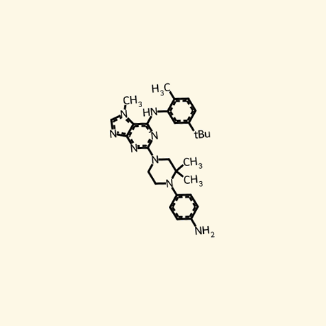 Cc1ccc(C(C)(C)C)cc1Nc1nc(N2CCN(c3ccc(N)cc3)C(C)(C)C2)nc2ncn(C)c12